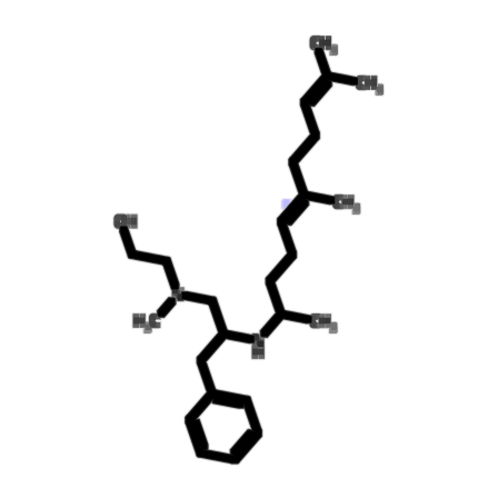 CC(C)=CCC/C(C)=C/CCC(C)NC(Cc1ccccc1)CN(C)CCO